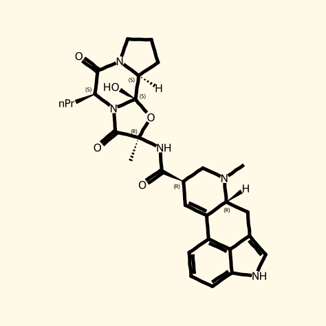 CCC[C@H]1C(=O)N2CCC[C@H]2[C@]2(O)O[C@@](C)(NC(=O)[C@@H]3C=C4c5cccc6[nH]cc(c56)C[C@H]4N(C)C3)C(=O)N12